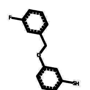 Fc1cccc(COc2cccc(S)c2)c1